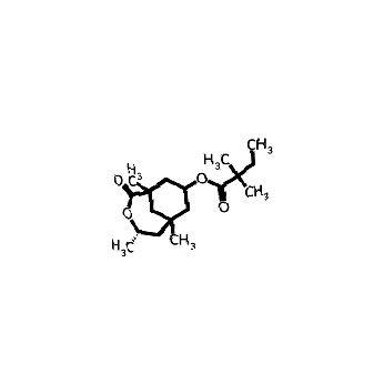 CCC(C)(C)C(=O)OC1CC2(C)C[C@H](C)OC(=O)C(C)(C1)C2